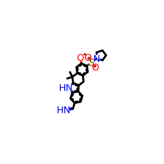 COc1cc2c(cc1S(=O)(=O)N1CCCC1)Cc1c([nH]c3cc(C=N)ccc13)C2(C)C